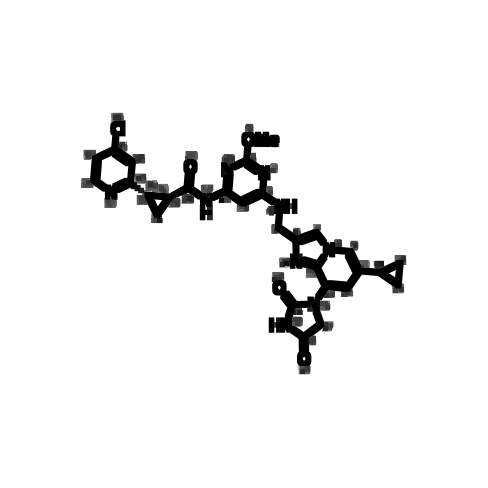 COc1nc(NCc2cn3cc(C4CC4)cc(N4CC(=O)NC4=O)c3n2)cc(NC(=O)[C@H]2C[C@@H]2c2cc(Cl)ccn2)n1